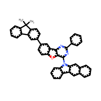 CC1(C)c2ccccc2-c2cc(-c3ccc4oc5c(-n6c7ccccc7c7cc8ccccc8cc76)nc(-c6ccccc6)nc5c4c3)ccc21